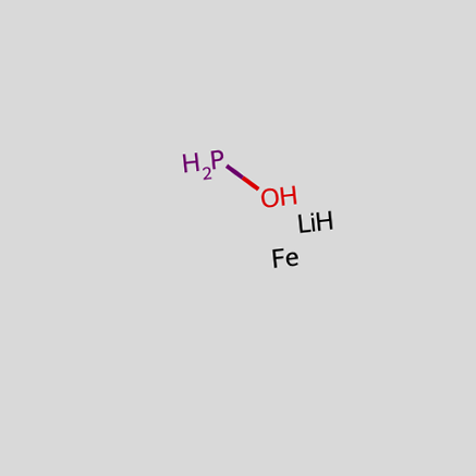 OP.[Fe].[LiH]